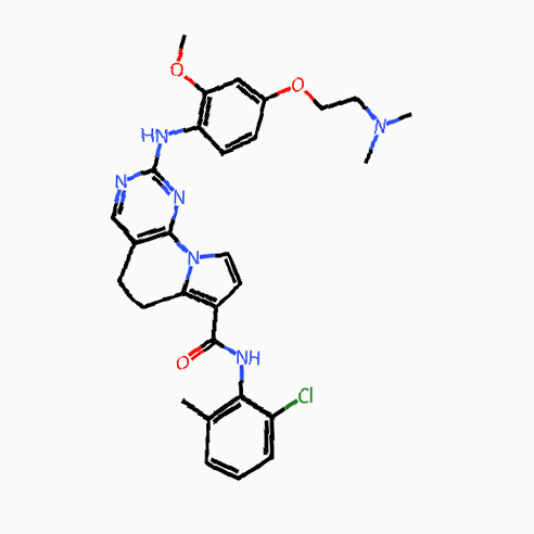 COc1cc(OCCN(C)C)ccc1Nc1ncc2c(n1)-n1ccc(C(=O)Nc3c(C)cccc3Cl)c1CC2